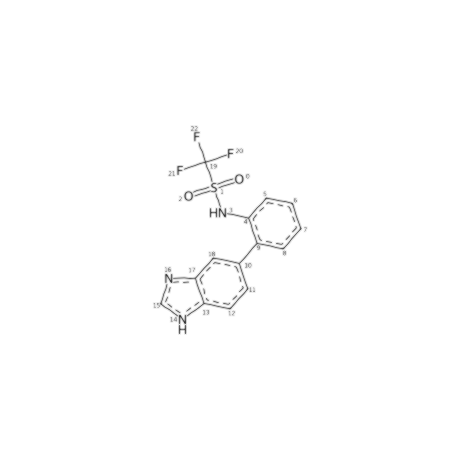 O=S(=O)(Nc1ccccc1-c1ccc2[nH]cnc2c1)C(F)(F)F